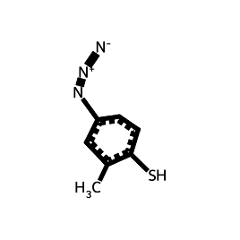 Cc1cc(N=[N+]=[N-])ccc1S